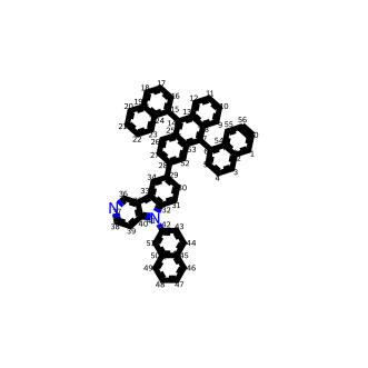 c1cc2cccc(-c3c4ccccc4c(-c4cccc5ccccc45)c4ccc(-c5ccc6c(c5)c5cnccc5n6-c5ccc6ccccc6c5)cc34)c2cc#1